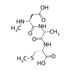 CN[C@@H](CC(=O)O)C(=O)NC(C)C(=O)N[C@@H](CSC)C(=O)O